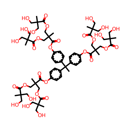 CC(CO)(CO)C(=O)OCC(C)(COC(=O)C(C)(CO)CO)C(=O)Oc1ccc(C(C)(c2ccc(OC(=O)C(C)(COC(=O)C(C)(CO)CO)COC(=O)C(C)(CO)CO)cc2)c2ccc(OC(=O)C(C)(COC(=O)C(C)(CO)CO)COC(=O)C(C)(CO)CO)cc2)cc1